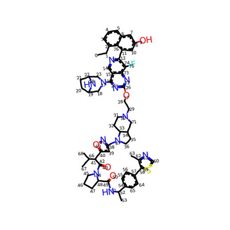 CCc1cccc2cc(O)cc(-c3ncc4c(N5CC6CCC(C5)N6)nc(OCCN5CCC6C(CCN6c6cc(C(C(=O)N7CCCC7C(=O)NC(C)c7ccc(-c8scnc8C)cc7)C(C)C)on6)C5)nc4c3F)c12